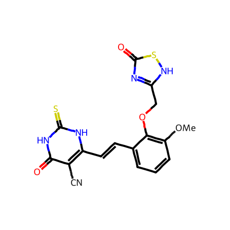 COc1cccc(/C=C/c2[nH]c(=S)[nH]c(=O)c2C#N)c1OCc1nc(=O)s[nH]1